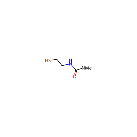 CNC(=O)NCCS